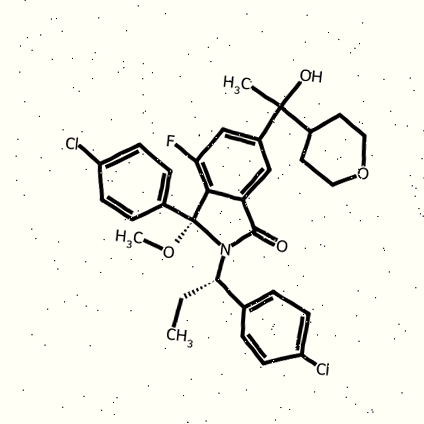 CC[C@@H](c1ccc(Cl)cc1)N1C(=O)c2cc(C(C)(O)C3CCOCC3)cc(F)c2[C@]1(OC)c1ccc(Cl)cc1